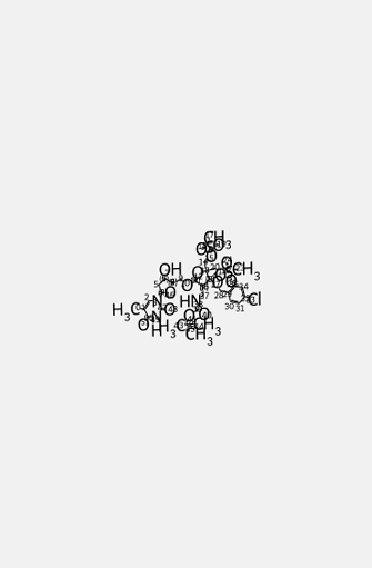 Cc1cn([C@H]2C[C@H](O)[C@@H](CO[C@@H]3OC(COS(C)(=O)=O)(COS(C)(=O)=O)[C@@H](OCc4ccc(Cl)cc4)[C@H]3CNC(=O)OC(C)(C)C)O2)c(=O)[nH]c1=O